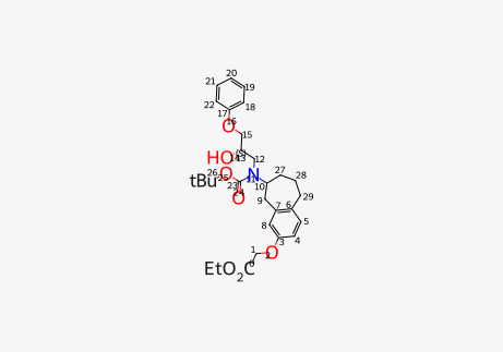 CCOC(=O)COc1ccc2c(c1)CC(N(C[C@H](O)COc1ccccc1)C(=O)OC(C)(C)C)CCC2